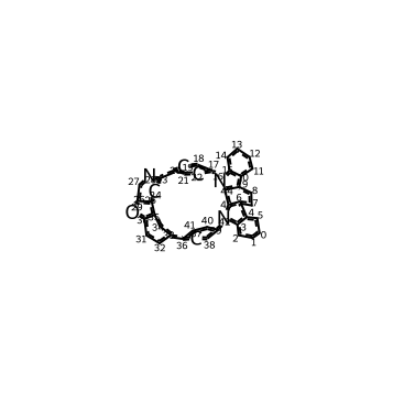 c1ccc2c(c1)c1ccc3c4ccccc4n4c5ccc(cc5)c5cc6c(cn5)oc5ccc(cc56)c5ccc(cc5)n2c1c34